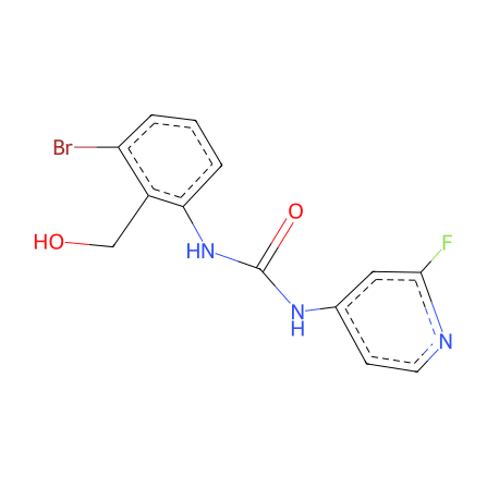 O=C(Nc1ccnc(F)c1)Nc1cccc(Br)c1CO